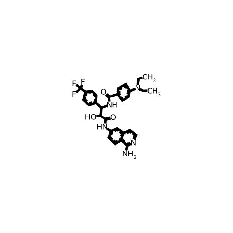 CCN(CC)c1ccc(C(=O)NC(c2ccc(C(F)(F)F)cc2)C(O)C(=O)Nc2ccc3c(N)nccc3c2)cc1